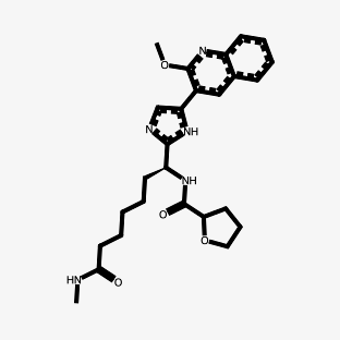 CNC(=O)CCCCC[C@H](NC(=O)C1CCCO1)c1ncc(-c2cc3ccccc3nc2OC)[nH]1